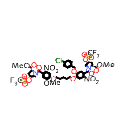 COC(=O)[C@@H]1CC(OS(=O)(=O)C(F)(F)F)=CN1C(=O)c1cc(OC)c(OCCCCCOc2cc([N+](=O)[O-])c(C(=O)N3C=C(OS(=O)(=O)C(F)(F)F)C[C@H]3C(=O)OC)cc2OCc2ccc(Cl)cc2)cc1[N+](=O)[O-]